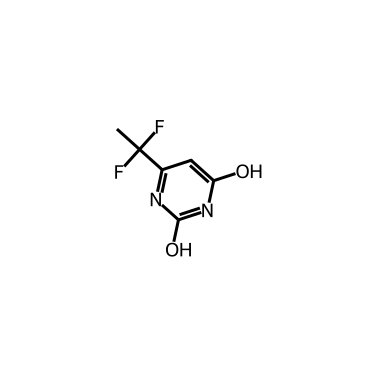 CC(F)(F)c1cc(O)nc(O)n1